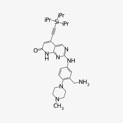 CC(C)[Si](C#Cc1cc(=O)[nH]c2nc(Nc3ccc(N4CCN(C)CC4)c(CN)c3)ncc12)(C(C)C)C(C)C